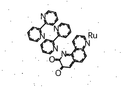 O=C1C=c2ccc3ncccc3c2=NC1=O.[Ru].c1ccc(-c2ccccn2)nc1.c1ccc(-c2ccccn2)nc1